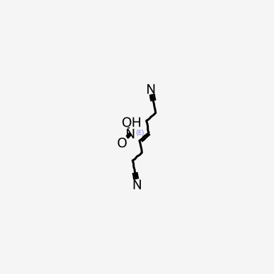 N#CCC/C=C/CCC#N.O=NO